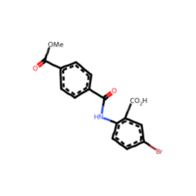 COC(=O)c1ccc(C(=O)Nc2ccc(Br)cc2C(=O)O)cc1